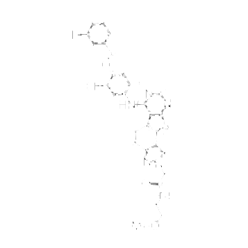 COCCNC(=O)Cn1cc2c(n1)CCc1c-2sc2ncnc(Nc3ccc(OCc4cccc(F)c4)c(Cl)c3)c12